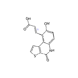 O=C(O)/C=C/c1c(O)ccc2[nH]c(=O)c3sccc3c12